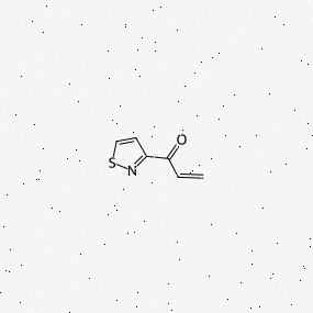 C=CC(=O)c1ccsn1